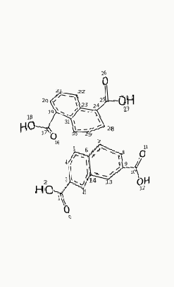 O=C(O)c1ccc2ccc(C(=O)O)cc2c1.O=C(O)c1cccc2c(C(=O)O)cccc12